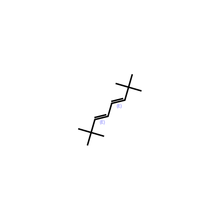 CC(C)(C)/C=C/C=C/C(C)(C)C